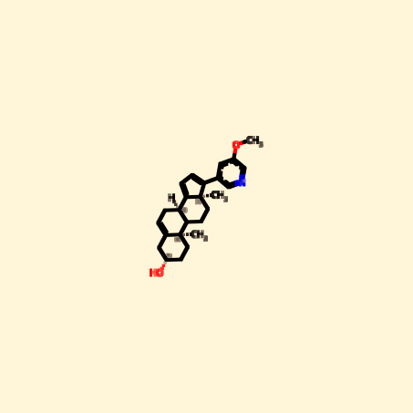 COc1cncc(C2=CC=C3[C@@H]4CC=C5C[C@@H](O)CC[C@]5(C)C4CC[C@]23C)c1